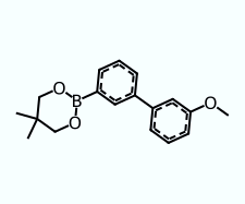 COc1cccc(-c2cccc(B3OCC(C)(C)CO3)c2)c1